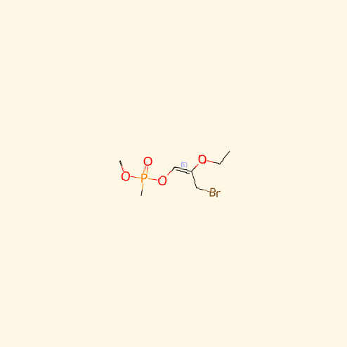 CCO/C(=C/OP(C)(=O)OC)CBr